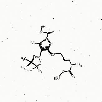 Cc1c(B2OC(C)(C)C(C)(C)O2)c(OCCCN(C)C(=O)OC(C)(C)C)nn1C(=O)OC(C)(C)C